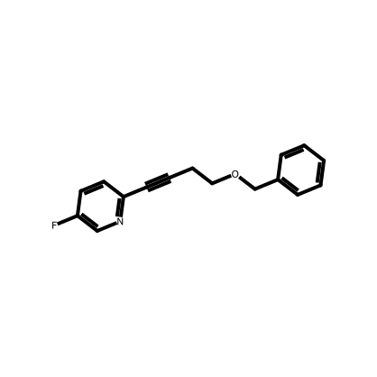 Fc1ccc(C#CCCOCc2ccccc2)nc1